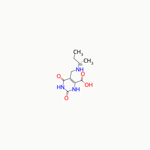 CC[C@H](C)NCc1c(C(=O)O)[nH]c(=O)[nH]c1=O